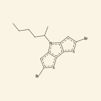 CCCCC(C)n1c2cc(Br)sc2c2sc(Br)cc21